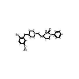 CCOc1ccc(Br)c(CC2CCN(CCC3CCN(c4ccccc4)C(=O)N3)CC2)c1